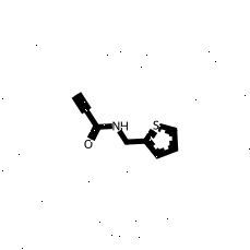 C#CC(=O)NCc1cccs1